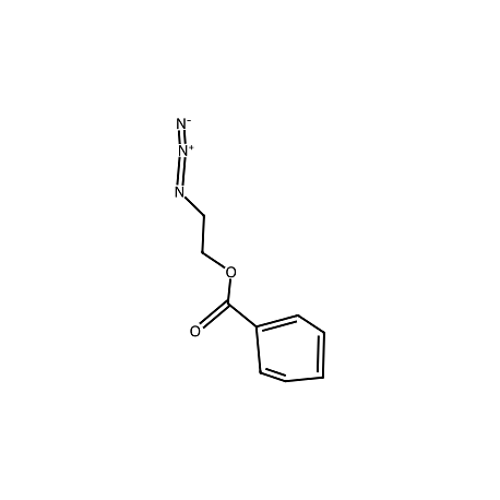 [N-]=[N+]=NCCOC(=O)c1ccccc1